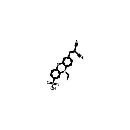 CCN1c2ccc(C=C(C#N)C#N)cc2Sc2ccc(S(=O)(=O)O)cc21